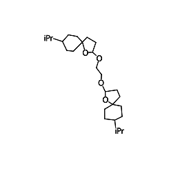 CC(C)C1CCC2(CCC(OCCOC3CCC4(CCC(C(C)C)CC4)O3)O2)CC1